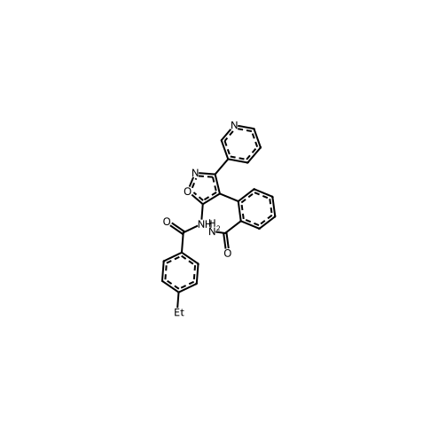 CCc1ccc(C(=O)Nc2onc(-c3cccnc3)c2-c2ccccc2C(N)=O)cc1